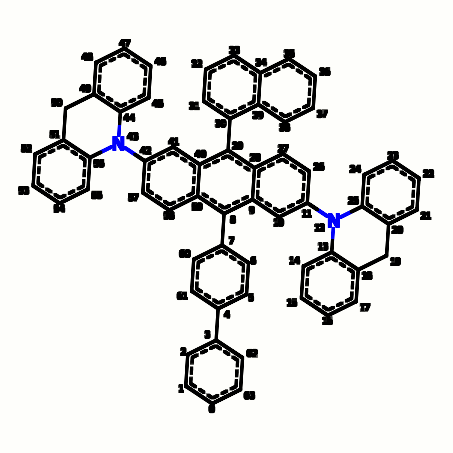 c1ccc(-c2ccc(-c3c4cc(N5c6ccccc6Cc6ccccc65)ccc4c(-c4cccc5ccccc45)c4cc(N5c6ccccc6Cc6ccccc65)ccc34)cc2)cc1